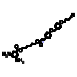 N#CCCCOc1ccc(COc2ccc(/C=C/C(=O)OCCCCCCOC(=O)c3cc(N)cc(N)c3)cc2)cc1